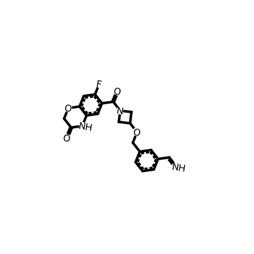 N=Cc1cccc(COC2CN(C(=O)c3cc4c(cc3F)OCC(=O)N4)C2)c1